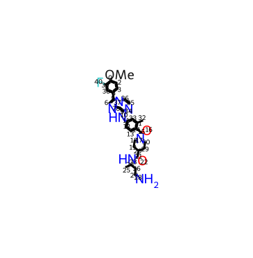 COc1ccc(-c2cnc3c(Nc4ccc(C(=O)N5CCC(C(=O)NC(C)CCN)CC5)c(C)c4)nccn23)cc1F